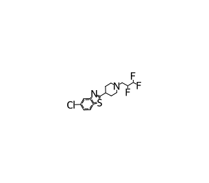 FC(F)C(F)CN1CCC(c2nc3cc(Cl)ccc3s2)CC1